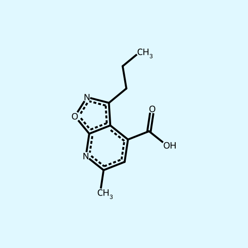 CCCc1noc2nc(C)cc(C(=O)O)c12